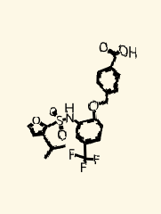 CC(C)c1ccoc1S(=O)(=O)Nc1cc(C(F)(F)F)ccc1OCc1ccc(C(=O)O)cc1